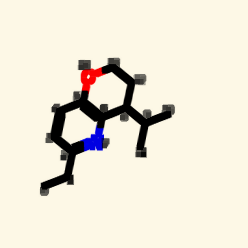 CCc1ccc2c(n1)C(C(C)C)CCO2